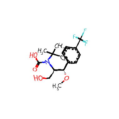 CO[C@@H](c1ccc(C(F)(F)F)cc1)[C@@H](CO)N(C(=O)O)C(C)(C)C